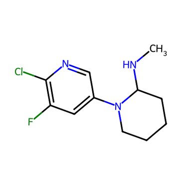 CNC1CCCCN1c1cnc(Cl)c(F)c1